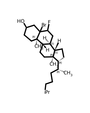 CC(C)CCC[C@@H](C)[C@H]1CC[C@H]2[C@@H]3CC(F)C4(Br)CC(O)CC[C@]4(C)[C@H]3CC[C@]12C